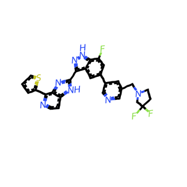 Fc1cc(-c2cncc(CN3CCC(F)(F)C3)c2)cc2c(-c3nc4c(-c5cccs5)nccc4[nH]3)n[nH]c12